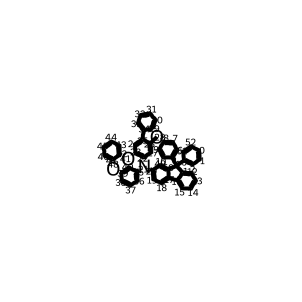 c1ccc(C2(c3ccccc3)c3ccccc3-c3ccc(N(c4ccc5c(c4)oc4ccccc45)c4cccc5c4Oc4ccccc4O5)cc32)cc1